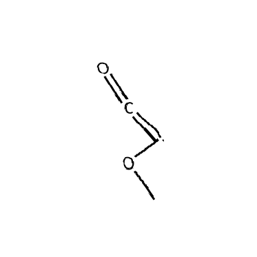 CO[C]=C=O